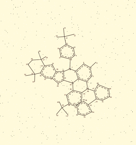 Cc1cc2c3c(c1)N(c1ccc(C(C)(C)C)cc1)c1c(sc4cc5c(cc14)C(C)(C)CCC5(C)C)B3c1cc(C(C)(C)C)ccc1N2c1ccccc1-c1ccccc1